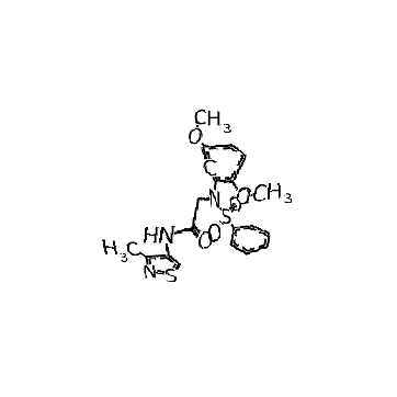 COc1ccc(OC)c(N(CC(=O)Nc2csnc2C)S(=O)(=O)c2ccccc2)c1